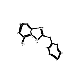 Brc1cccc2nc(Cc3ccccc3)[nH]c12